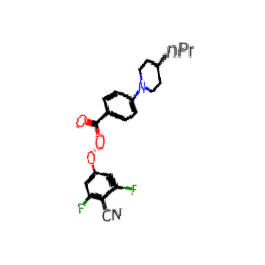 CCCC1CCN(c2ccc(C(=O)OOc3cc(F)c(C#N)c(F)c3)cc2)CC1